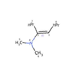 CCC/C=C(\CCC)N(C)C